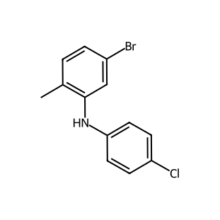 Cc1ccc(Br)cc1Nc1ccc(Cl)cc1